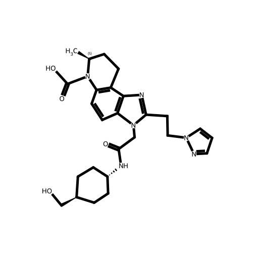 C[C@H]1CCc2c(ccc3c2nc(CCn2cccn2)n3CC(=O)N[C@H]2CC[C@H](CO)CC2)N1C(=O)O